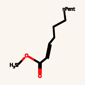 CCCCCCCCC=CC(=O)O[SiH3]